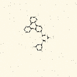 Cc1cc(C)cc(-c2nc(Cl)nc(-c3ccc4c5ccccc5c5ccccc5c4c3)n2)c1